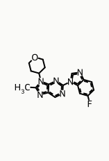 Cc1nc2cnc(-n3cnc4ccc(F)cc43)nc2n1C1CCOCC1